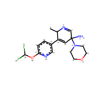 CC1N=CC(N)(N2CCOCC2)C=C1c1ccc(OC(F)F)nc1